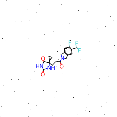 O=C1NC(=O)C(CCC(=O)N2Cc3cc(F)c(C(F)F)cc3C2)(C2CC2)N1